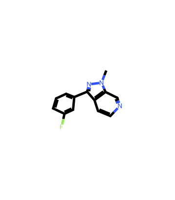 Cn1nc(-c2cccc(F)c2)c2ccncc21